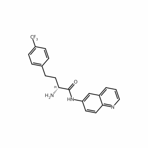 N[C@H](CCc1ccc(C(F)(F)F)cc1)C(=O)Nc1ccc2ncccc2c1